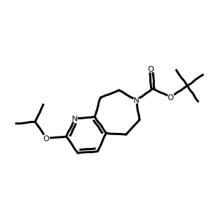 CC(C)Oc1ccc2c(n1)CCN(C(=O)OC(C)(C)C)CC2